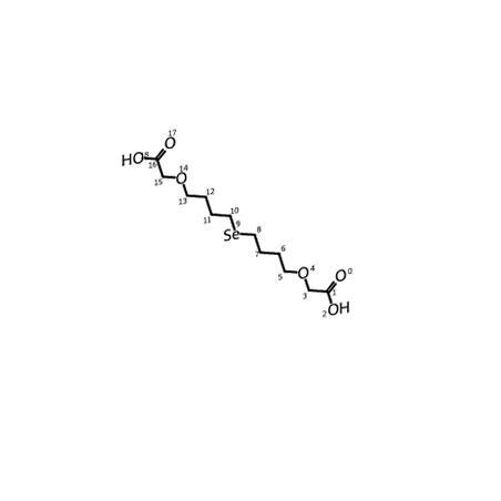 O=C(O)COCCCC[Se]CCCCOCC(=O)O